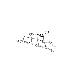 CCCC(C[SiH3])(OC)C(OC)(OC)[Si](OCC)(OCC)OCC